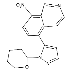 O=[N+]([O-])c1ccc(-c2ccnn2C2CCCCO2)c2ccncc12